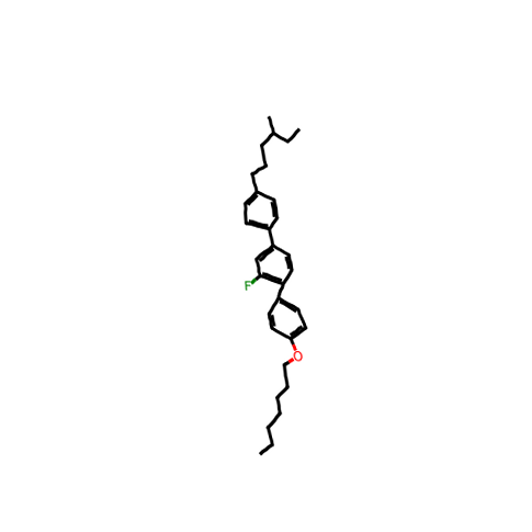 CCCCCCCOc1ccc(-c2ccc(-c3ccc(CCCC(C)CC)cc3)cc2F)cc1